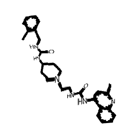 Cc1cc(NC(=O)NCCN2CCC(NC(=O)NCc3ccccc3C)CC2)c2ccccc2n1